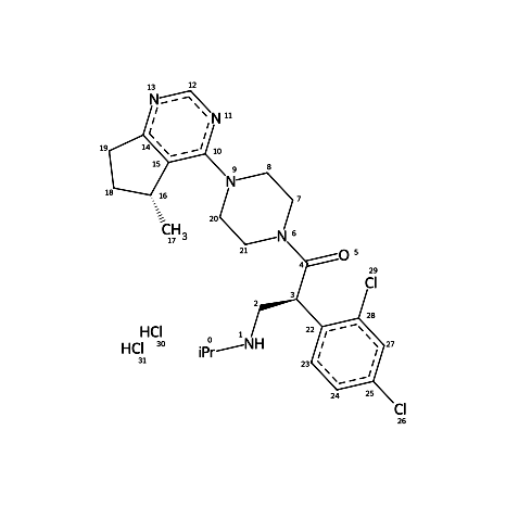 CC(C)NC[C@@H](C(=O)N1CCN(c2ncnc3c2[C@H](C)CC3)CC1)c1ccc(Cl)cc1Cl.Cl.Cl